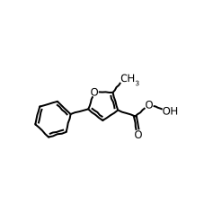 Cc1oc(-c2ccccc2)cc1C(=O)OO